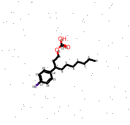 CCCCCCCC(CCOC(=O)O)c1ccc(I)cc1